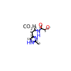 Cc1nc(CC(NC(=O)C[O])C(=O)O)c[nH]1